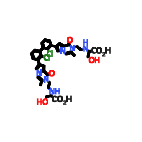 Cc1cn2cc(-c3cccc(-c4cccc(-c5cc6c(=O)n(CCNC(CO)C(=O)O)c(C)cn6c5)c4Cl)c3Cl)cc2c(=O)n1CCNC(CO)C(=O)O